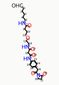 O=CCCCCCNC(=O)CCCOCCNC(=O)CC(=O)Nc1ccc(CC(=O)N2CCC2=O)cc1